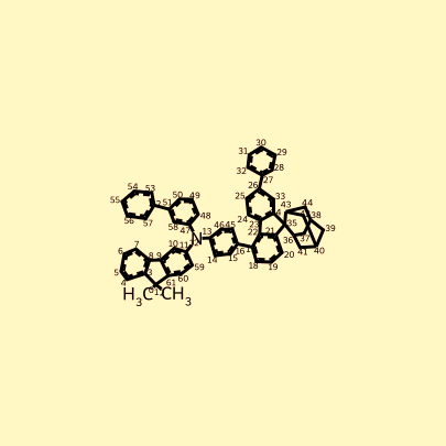 CC1(C)c2ccccc2-c2cc(N(c3ccc(-c4cccc5c4-c4ccc(-c6ccccc6)cc4C54C5CC6CC(C5)CC4C6)cc3)c3cccc(-c4ccccc4)c3)ccc21